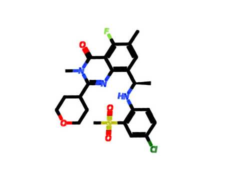 Cc1cc([C@@H](C)Nc2ccc(Cl)cc2S(C)(=O)=O)c2nc(C3CCOCC3)n(C)c(=O)c2c1F